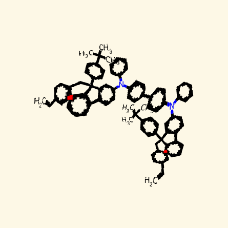 C=Cc1ccc(CC2(c3ccc(C(C)(C)C)cc3)c3ccccc3-c3ccc(N(c4ccccc4)c4ccc(-c5ccc(N(c6ccccc6)c6ccc7c(c6)C(Cc6ccc(C=C)cc6)(c6ccc(C(C)(C)C)cc6)c6ccccc6-7)cc5)cc4)cc32)cc1